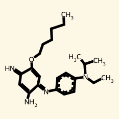 CCCCCCOC1=CC(=Nc2ccc(N(CC)C(C)C)cc2)C(N)=CC1=N